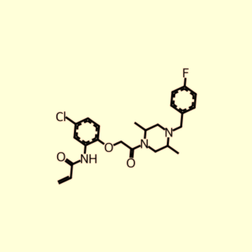 C=CC(=O)Nc1cc(Cl)ccc1OCC(=O)N1CC(C)N(Cc2ccc(F)cc2)CC1C